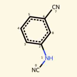 N#CNc1cccc(C#N)c1